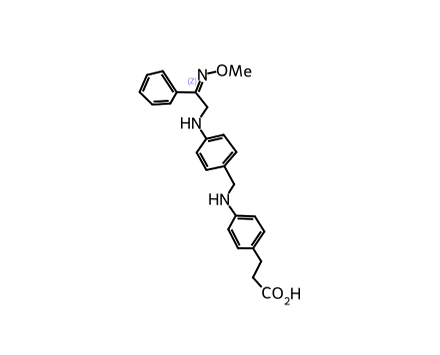 CO/N=C(\CNc1ccc(CNc2ccc(CCC(=O)O)cc2)cc1)c1ccccc1